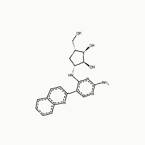 Nc1ncc(-c2ccc3ccccc3n2)c(N[C@@H]2C[C@H](CO)[C@@H](O)[C@H]2O)n1